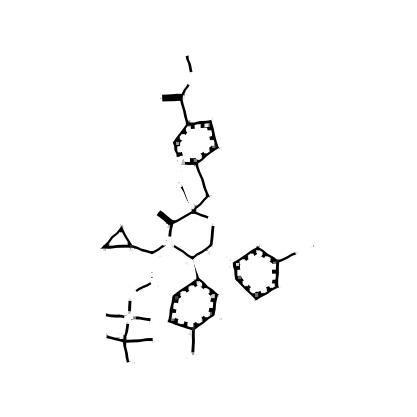 COC(=O)c1ccc(C[C@]2(C)O[C@H](c3cccc(Cl)c3)[C@@H](c3ccc(Cl)cc3)N([C@H](CO[Si](C)(C)C(C)(C)C)C3CC3)C2=O)nc1